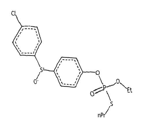 CCCSP(=O)(OCC)Oc1ccc([S+]([O-])c2ccc(Cl)cc2)cc1